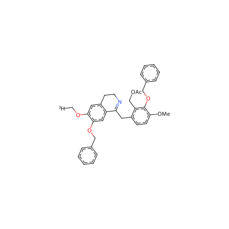 [2H]COc1cc2c(cc1OCc1ccccc1)C(Cc1ccc(OC)c(OCc3ccccc3)c1COC(C)=O)=NCC2